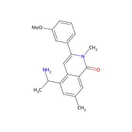 COc1cccc(-c2cc3c(C(C)N)cc(C)cc3c(=O)n2C)c1